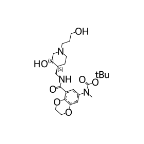 CN(C(=O)OC(C)(C)C)c1cc2c(c(C(=O)NC[C@@H]3CCN(CCCO)C[C@H]3O)c1)OCCO2